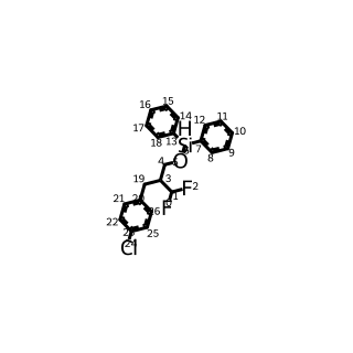 FC(F)C(CO[SiH](c1ccccc1)c1ccccc1)Cc1ccc(Cl)cc1